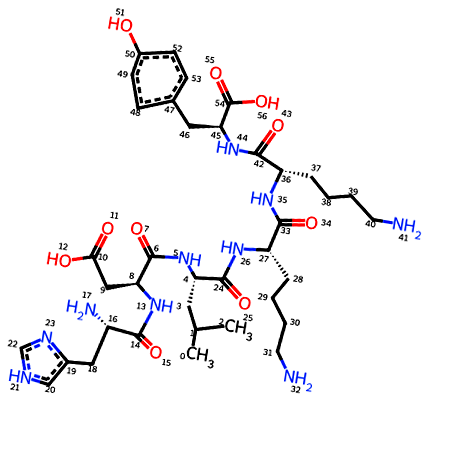 CC(C)C[C@H](NC(=O)[C@H](CC(=O)O)NC(=O)[C@@H](N)Cc1c[nH]cn1)C(=O)N[C@@H](CCCCN)C(=O)N[C@@H](CCCCN)C(=O)N[C@@H](Cc1ccc(O)cc1)C(=O)O